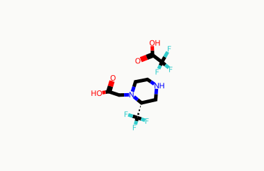 O=C(O)C(F)(F)F.O=C(O)CN1CCNC[C@@H]1C(F)(F)F